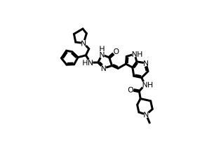 CN1CCC(C(=O)Nc2cnc3[nH]cc(C=C4N=C(NC(CN5CCCC5)c5ccccc5)NC4=O)c3c2)CC1